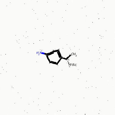 CC(=O)N[C@@H](C)c1ccc(N)cc1